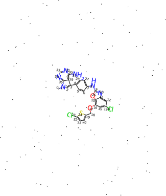 Cn1cc(-c2ccc(Nc3nc4cc(Cl)cc(OCc5ccc(Cl)s5)c4o3)cc2)c2c(N)ncnc21